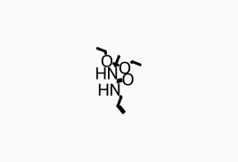 C=CCNC(=O)NC(C)(OCC)OCC